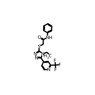 CCn1c(SCC(=O)Nc2ccccc2)nnc1-c1ccnc(C(F)(F)F)c1